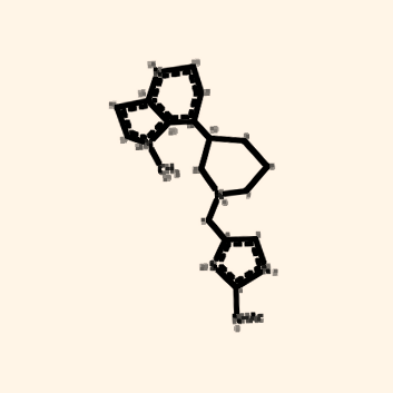 CC(=O)Nc1ncc(CN2CCCC(c3ccnc4ccn(C)c34)C2)s1